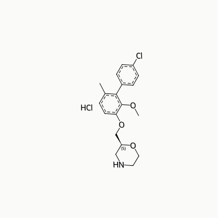 COc1c(OC[C@@H]2CNCCO2)ccc(C)c1-c1ccc(Cl)cc1.Cl